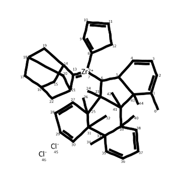 CC1=CC=CC2[CH]([Zr+2]([C]3=CC=CC3)=[C]3C4CC5CC(C4)CC3C5)C3(C)C4(C)C=CC=CC4(C)C4(C)C=CC=CC4(C)C3(C)C12C.[Cl-].[Cl-]